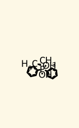 CC(C)P(O)(O)(c1ccccc1)c1ccccc1